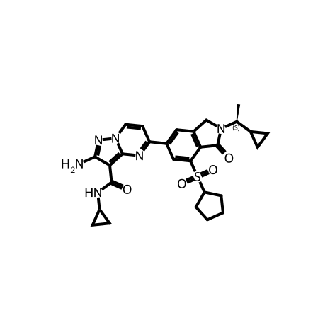 C[C@@H](C1CC1)N1Cc2cc(-c3ccn4nc(N)c(C(=O)NC5CC5)c4n3)cc(S(=O)(=O)C3CCCC3)c2C1=O